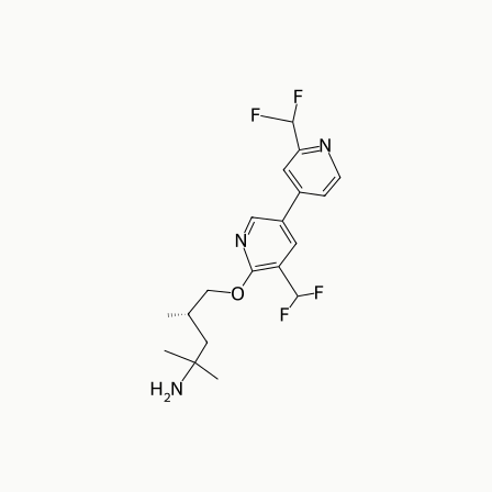 C[C@H](COc1ncc(-c2ccnc(C(F)F)c2)cc1C(F)F)CC(C)(C)N